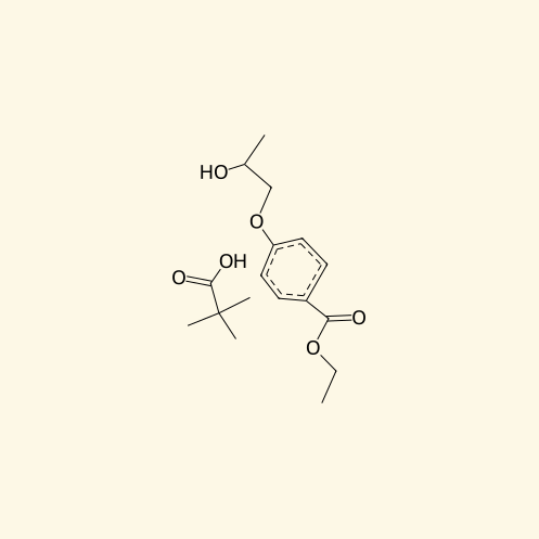 CC(C)(C)C(=O)O.CCOC(=O)c1ccc(OCC(C)O)cc1